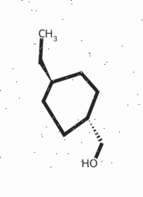 CC[C@H]1CC[C@H](CO)CC1